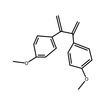 C=C(C(=C)c1ccc(OC)cc1)c1ccc(OC)cc1